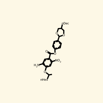 CCCCCCCCCCC1COC(c2ccc(OC(=O)c3cc(N)c(OC(C)CCCCCC)cc3[N+](=O)[O-])cc2)OC1